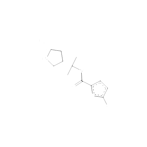 CC(C)(NC(=O)c1ccc(Cl)s1)[C@@H]1CN[C@H](C(=O)O)C1